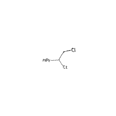 CCC[C](CC)CCl